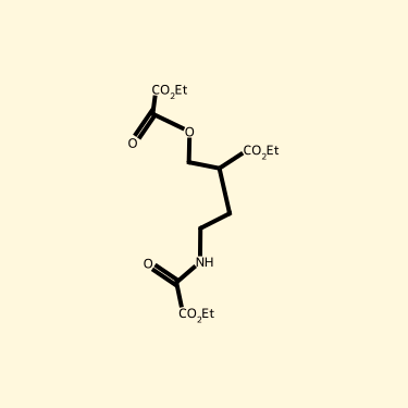 CCOC(=O)C(=O)NCCC(COC(=O)C(=O)OCC)C(=O)OCC